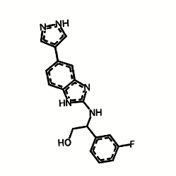 OCC(Nc1nc2cc(-c3cn[nH]c3)ccc2[nH]1)c1cccc(F)c1